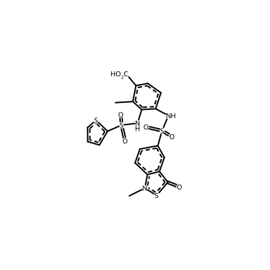 Cc1c(C(=O)O)ccc(NS(=O)(=O)c2ccc3c(c2)c(=O)sn3C)c1NS(=O)(=O)c1cccs1